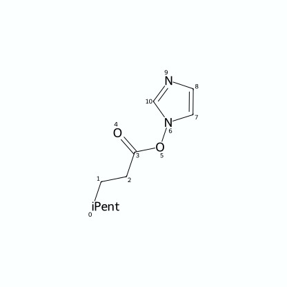 CCCC(C)CCC(=O)On1ccnc1